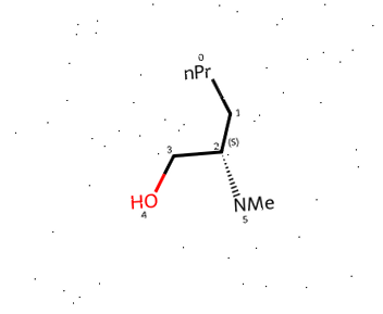 CCCC[C@@H](CO)NC